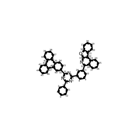 c1ccc(-c2nc(-c3cccc(-c4nc5oc6ccccc6c5c5ccccc45)c3)nc(-c3ccc4c5ccccc5c5ccccc5c4c3)n2)cc1